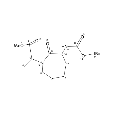 COC(=O)C(C)N1CCCCC(NC(=O)OC(C)(C)C)C1=O